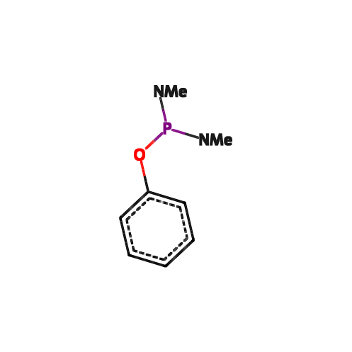 CNP(NC)Oc1ccccc1